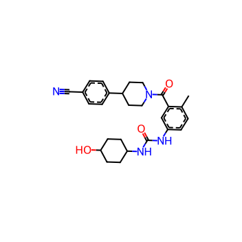 Cc1ccc(NC(=O)NC2CCC(O)CC2)cc1C(=O)N1CCC(c2ccc(C#N)cc2)CC1